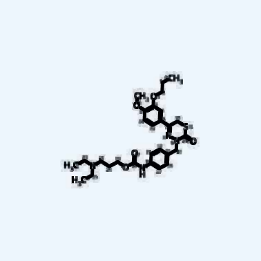 CCCOc1cc(C2=NN(Cc3ccc(NC(=O)OCCCN(CC)CC)cc3)C(=O)SC2)ccc1OC